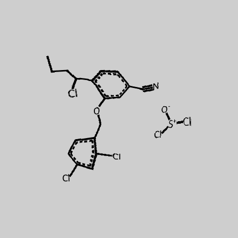 CCCC(Cl)c1ccc(C#N)cc1OCc1ccc(Cl)cc1Cl.[O-][S+](Cl)Cl